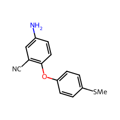 CSc1ccc(Oc2ccc(N)cc2C#N)cc1